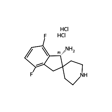 Cl.Cl.N[C@H]1c2c(F)ccc(F)c2CC12CCNCC2